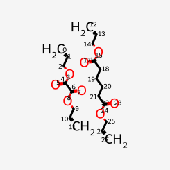 C=CCOC(=O)C(=O)OCC=C.C=CCOC(=O)CCCCC(=O)OCC=C